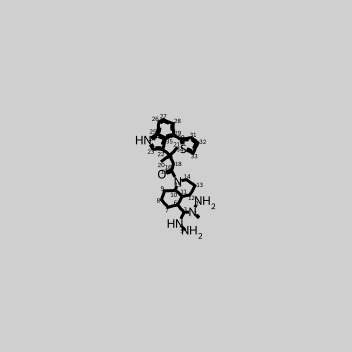 CN(N)C(NN)C1CCCC2C1CCCN2C(=O)CC(C)(C)c1c[nH]c2cccc(-c3cccs3)c12